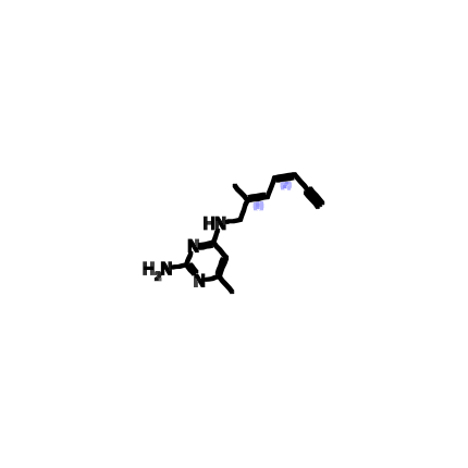 C#C/C=C\C=C(/C)CNc1cc(C)nc(N)n1